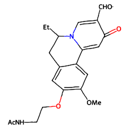 CCC1Cc2cc(OCCNC(C)=O)c(OC)cc2-c2cc(=O)c([C]=O)cn21